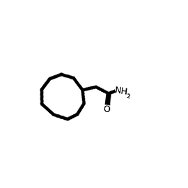 NC(=O)CC1CCCCCCCCC1